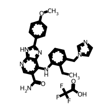 CCc1c(Cn2ccnc2)cccc1Nc1c(C(N)=O)cnc2[nH]c(-c3ccc(OC)cc3)nc12.O=C(O)C(F)(F)F